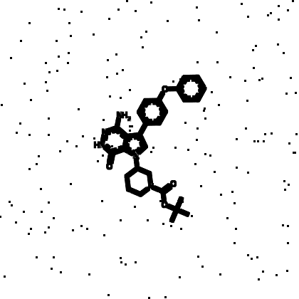 CC(C)(C)OC(=O)N1CCCC(n2cc(-c3ccc(Oc4ccccc4)cc3)c3c(N)n[nH]c(=O)c32)C1